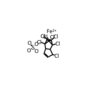 ClC1=C(Cl)C2(Cl)C3C(Cl)C=CC3C1(Cl)C2(Cl)Cl.O=S(=O)([O-])[O-].[Fe+2]